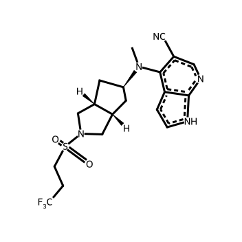 CN(c1c(C#N)cnc2[nH]ccc12)[C@H]1C[C@@H]2CN(S(=O)(=O)CCC(F)(F)F)C[C@@H]2C1